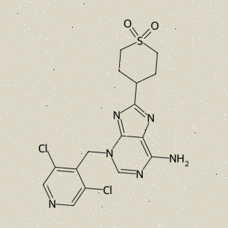 Nc1ncn(Cc2c(Cl)cncc2Cl)c2nc(C3CCS(=O)(=O)CC3)nc1-2